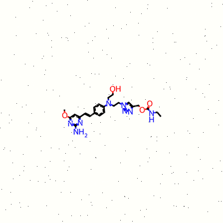 CCNC(=O)OCc1cn(CCN(CCO)c2ccc(/C=C/c3cc(OC)nc(N)n3)cc2)nn1